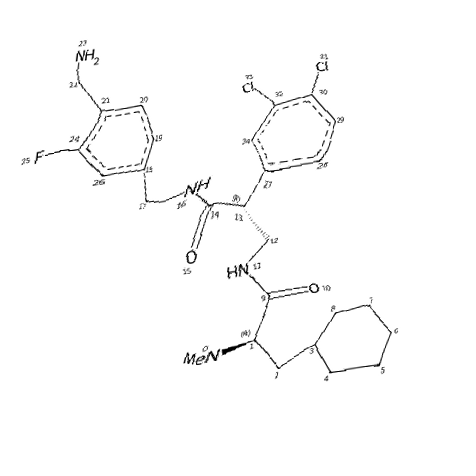 CN[C@H](CC1CCCCC1)C(=O)NC[C@H](C(=O)NCc1ccc(CN)c(F)c1)c1ccc(Cl)c(Cl)c1